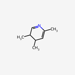 CC1=CC(C)C(C)C=N1